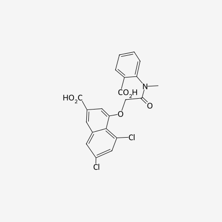 CN(C(=O)COc1cc(C(=O)O)cc2cc(Cl)cc(Cl)c12)c1ccccc1C(=O)O